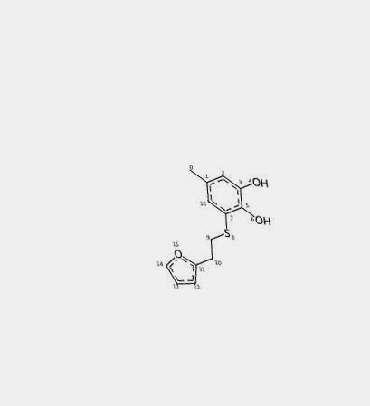 Cc1cc(O)c(O)c(SCCc2ccco2)c1